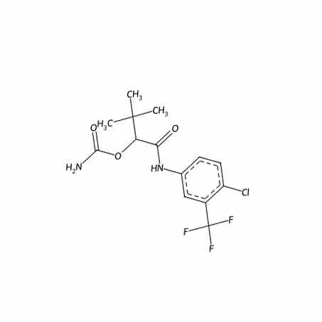 CC(C)(C)C(OC(N)=O)C(=O)Nc1ccc(Cl)c(C(F)(F)F)c1